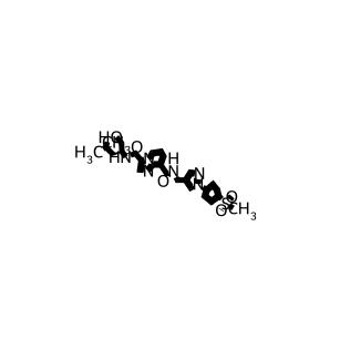 CC(C)C[C@@H](CO)NC(=O)c1cnc2c(C(=O)NCc3cnn(-c4ccc(S(C)(=O)=O)cc4)c3)cccn12